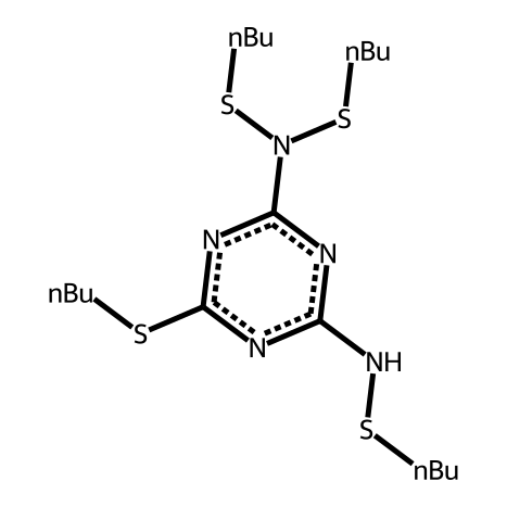 CCCCSNc1nc(SCCCC)nc(N(SCCCC)SCCCC)n1